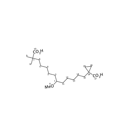 COC(CCCCCC(C)(C)C(=O)O)CCCCCC1(C(=O)O)CC1